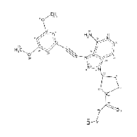 COc1cc(C#Cc2nn(C3CCN(C(=O)CCCl)C3)c3ncnc(N)c23)cc(OC)c1